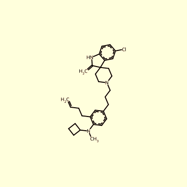 C=CCCc1cc(CCCN2CCC3(CC2)C(=C)Nc2ccc(Cl)cc23)ccc1N(C)C1CCC1